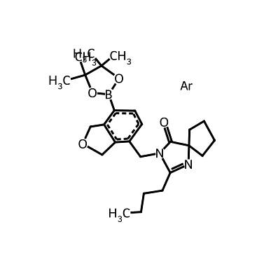 CCCCC1=NC2(CCCC2)C(=O)N1Cc1ccc(B2OC(C)(C)C(C)(C)O2)c2c1COC2.[Ar]